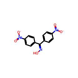 O=[N+]([O-])c1ccc(C(=NO)c2ccc([N+](=O)[O-])cc2)cc1